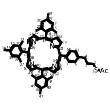 CC(=O)SCCCc1ccc(-c2c3nc(c(-c4c(C)cc(C)cc4C)c4ccc([nH]4)c(-c4c(C)cc(C)cc4C)c4nc(c(-c5c(C)cc(C)cc5C)c5ccc2[nH]5)C=C4)C=C3)cc1